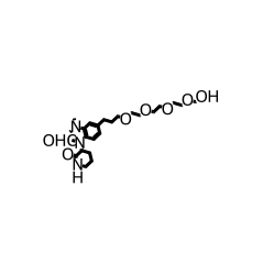 CN(C)c1cc(CCCOCCOCCOCCOCO)ccc1N(C=O)C1CCCNC1=O